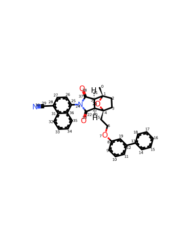 C[C@@]12CC[C@@](CCOc3cccc(-c4ccccc4)c3)(O1)[C@H]1C(=O)N(c3ccc(C#N)c4ccccc34)C(=O)[C@H]12